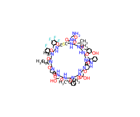 CCCC[C@H]1C(=O)N2CCC[C@@H]2C(=O)N[C@@H](CC(=O)O)C(=O)N[C@@H](C(C)C)C(=O)N(C)[C@@H](Cc2ccccc2)C(=O)N[C@@H](CC(=O)O)C(=O)N2CCCC[C@@H]2C(=O)N[C@@H](Cc2c[nH]c3ccccc23)C(=O)N[C@@H](Cc2ccc(O)cc2)C(=O)N[C@@H](CC(C)C)C(=O)N[C@H](C(=O)NCC(N)=O)CSCC(=O)N[C@@H](Cc2cc(F)c(F)c(F)c2)C(=O)N(C)[C@@H](Cc2ccc(F)cc2)C(=O)N1C